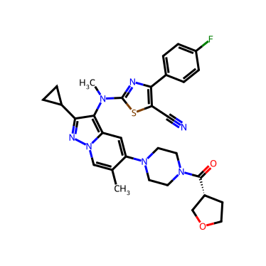 Cc1cn2nc(C3CC3)c(N(C)c3nc(-c4ccc(F)cc4)c(C#N)s3)c2cc1N1CCN(C(=O)[C@@H]2CCOC2)CC1